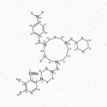 COc1c(N2CCN(SN3CCCN(CC4CCCCC4)CCCN(Sc4ccc(N(C)C)cc4)CC(C)C3)CC2)ccc(F)c1F